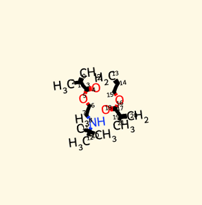 C=C(C)C(=O)OCCNC(C)(C)C.C=CCOC(=O)C(=C)C